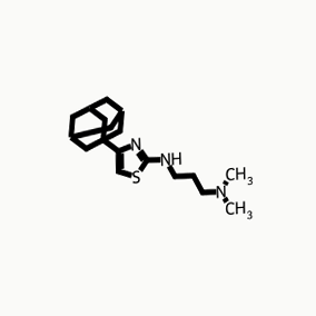 CN(C)CCCNc1nc(C23CC4CC(CC(C4)C2)C3)cs1